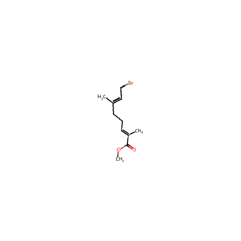 COC(=O)C(C)=CCCC(C)=CCBr